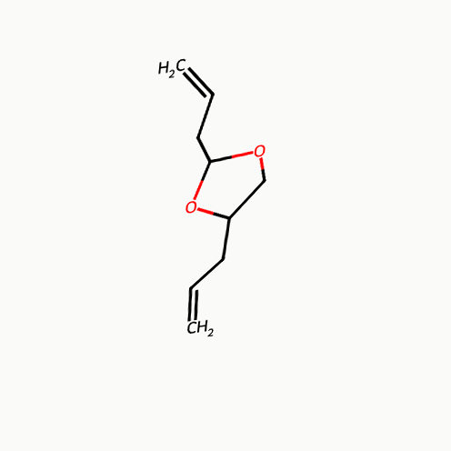 C=CCC1COC(CC=C)O1